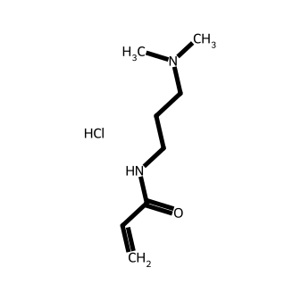 C=CC(=O)NCCCN(C)C.Cl